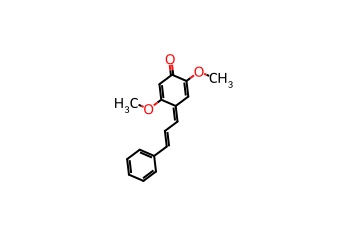 COC1=CC(=CC=Cc2ccccc2)C(OC)=CC1=O